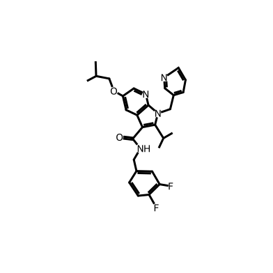 CC(C)COc1cnc2c(c1)c(C(=O)NCc1ccc(F)c(F)c1)c(C(C)C)n2Cc1cccnc1